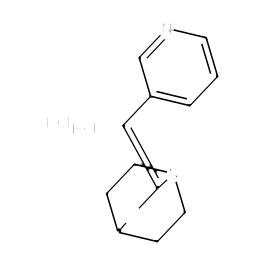 C(=C1\CC2CCN1CC2)/c1cccnc1.Cl.Cl